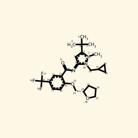 Cn1c(C(C)(C)C)cc(=NC(=O)c2cc(C(F)(F)F)ccc2OC[C@@H]2CCCO2)n1CC1CC1